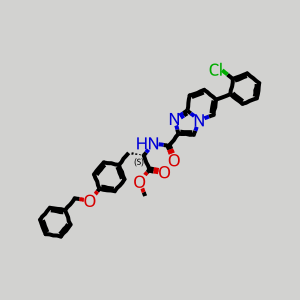 COC(=O)[C@H](Cc1ccc(OCc2ccccc2)cc1)NC(=O)c1cn2cc(-c3ccccc3Cl)ccc2n1